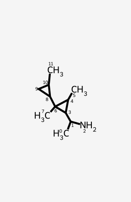 CC(N)C1C(C)C1(C)C1CC1C